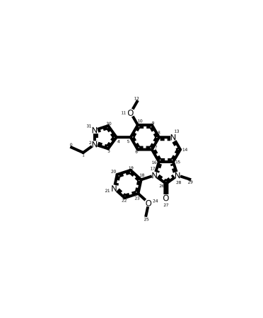 CCn1cc(-c2cc3c(cc2OC)ncc2c3n(-c3ccncc3OC)c(=O)n2C)cn1